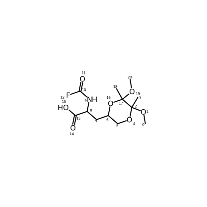 COC1(C)OCC(CC(NC(=O)F)C(=O)O)OC1(C)OC